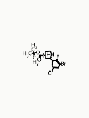 CC(C)(C)OC(=O)N1CCNC(c2cc(Cl)cc(Br)c2F)C1